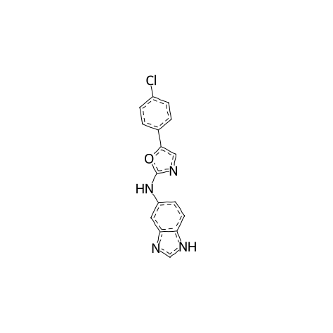 Clc1ccc(-c2cnc(Nc3ccc4[nH]cnc4c3)o2)cc1